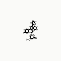 O=C1C[C@@H](O)C[C@H](C=CC2=C(c3ccc(F)cc3)C=C(c3ccco3)C23CCCC3)O1